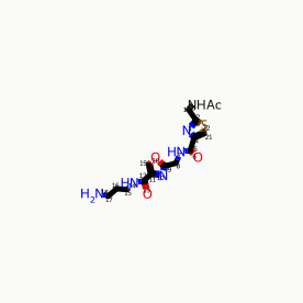 CC(=O)NCc1nc(C(=O)NCc2nc(C(=O)NCCCN)co2)cs1